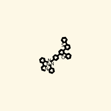 c1ccc(-c2nc(-c3ccc(-c4ccc(-c5cccc6c5sc5ccccc56)c5c4oc4ccccc45)cc3)nc(-c3ccccc3-c3cccnc3)n2)cc1